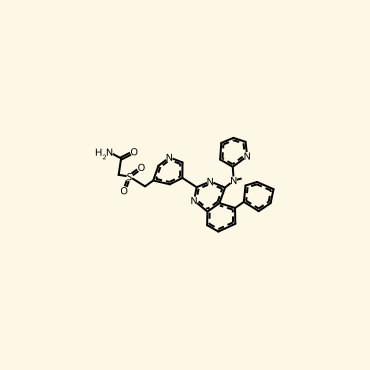 CN(c1ccccn1)c1nc(-c2cncc(CS(=O)(=O)CC(N)=O)c2)nc2cccc(-c3ccccc3)c12